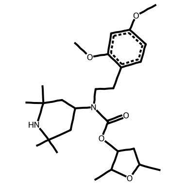 COc1ccc(CCN(C(=O)OC2CC(C)OC2C)C2CC(C)(C)NC(C)(C)C2)c(OC)c1